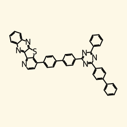 c1ccc(-c2ccc(-c3nc(-c4ccccc4)nc(-c4ccc(-c5ccc(-c6ccnc7c6sc6nc8ccccc8nc67)cc5)cc4)n3)cc2)cc1